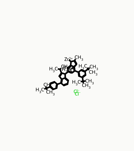 CC1=C2c3c(cc(C4C(C(C)C)=Cc5c(-c6ccc(C(C)(C)C)cc6)cccc54)c(c3-c3cc(C(C)(C)C)cc(C(C)(C)C)c3)[Si]2(C)C)[CH]1[Zr+2].[Cl-].[Cl-]